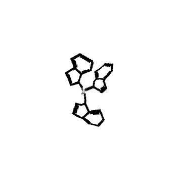 C1=C[CH]([Zr]([CH]2C=Cc3ccccc32)[CH]2C=Cc3ccccc32)c2ccccc21